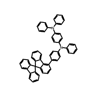 c1ccc(N(c2ccccc2)c2ccc(N(c3ccccc3)c3ccc(-c4cccc5c4-c4ccccc4C54c5ccccc5-c5ccccc54)cc3)cc2)cc1